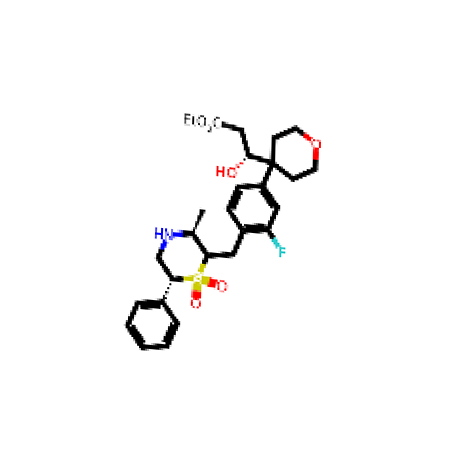 CCOC(=O)C[C@@H](O)C1(c2ccc(CC3[C@H](C)NC[C@@H](c4ccccc4)S3(=O)=O)c(F)c2)CCOCC1